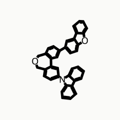 c1ccc2c(c1)oc1ccc(-c3ccc4c(c3)-c3cc(-n5c6ccccc6c6ccccc65)ccc3COC4)cc12